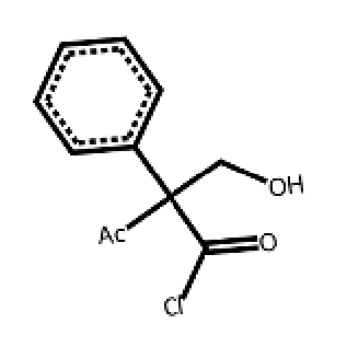 CC(=O)C(CO)(C(=O)Cl)c1ccccc1